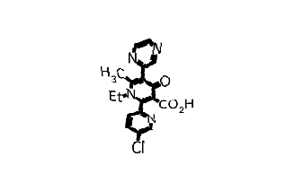 CCn1c(C)c(-c2cnccn2)c(=O)c(C(=O)O)c1-c1ccc(Cl)cn1